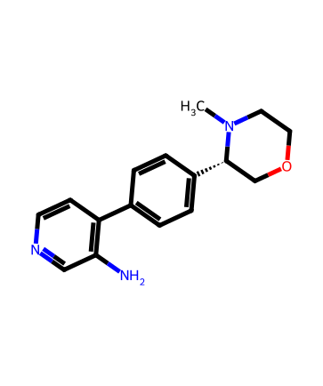 CN1CCOC[C@@H]1c1ccc(-c2ccncc2N)cc1